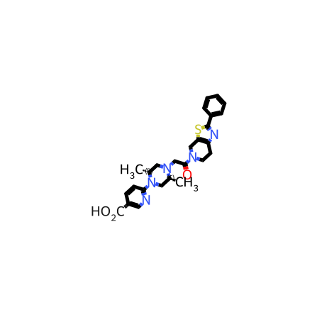 C[C@@H]1CN(CC(=O)N2CCc3nc(-c4ccccc4)sc3C2)[C@@H](C)CN1c1ccc(C(=O)O)cn1